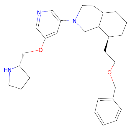 c1ccc(COCC[C@@H]2CCCC3CCN(c4cncc(OC[C@@H]5CCCN5)c4)CC32)cc1